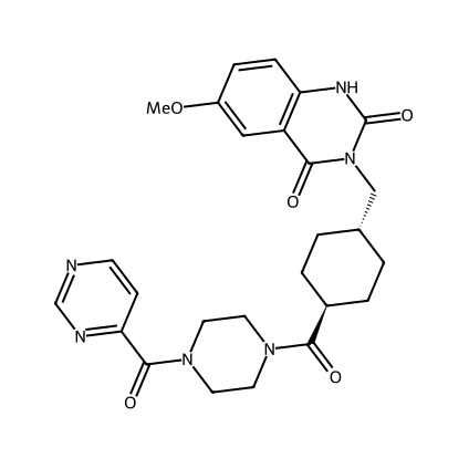 COc1ccc2[nH]c(=O)n(C[C@H]3CC[C@H](C(=O)N4CCN(C(=O)c5ccncn5)CC4)CC3)c(=O)c2c1